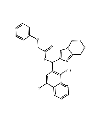 O=C(COc1ccccc1)NC(c1cn2c(n1)COCC2)c1cc(Cl)c2cccnc2c1O